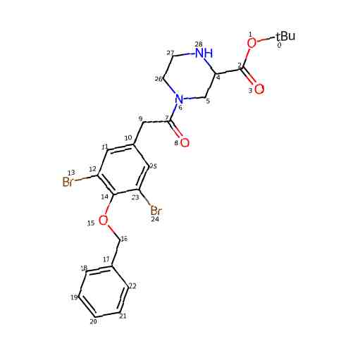 CC(C)(C)OC(=O)C1CN(C(=O)Cc2cc(Br)c(OCc3ccccc3)c(Br)c2)CCN1